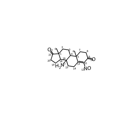 CC12CCC3C4(C)CCC(=O)C(N=O)=C4CCC3(N)C1CCC2=O